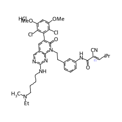 CCN(C)CCCCNc1ncc2cc(-c3c(Cl)c(OC)cc(OC)c3Cl)c(=O)n(CCc3cccc(NC(=O)/C(C#N)=C/C(C)C)c3)c2n1.Cl